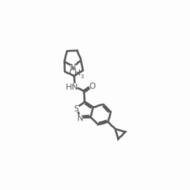 CN1C2CCC1CC(NC(=O)c1snc3cc(C4CC4)ccc13)C2